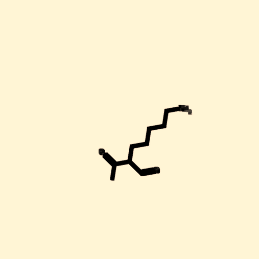 CC(=O)C(C=O)CCCCCN